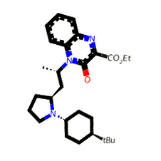 CCOC(=O)c1nc2ccccc2n([C@@H](C)C[C@@H]2CCCN2[C@H]2CC[C@H](C(C)(C)C)CC2)c1=O